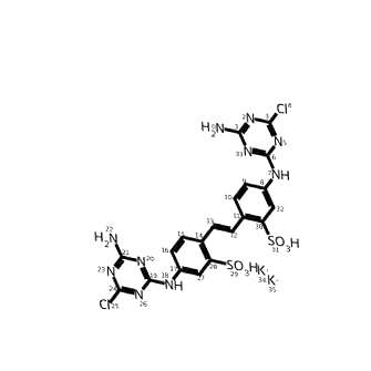 Nc1nc(Cl)nc(Nc2ccc(C=Cc3ccc(Nc4nc(N)nc(Cl)n4)cc3S(=O)(=O)O)c(S(=O)(=O)O)c2)n1.[K].[K]